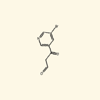 O=CCC(=O)c1cncc(Br)c1